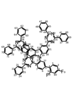 Fc1ccc(-c2ccc(-c3nc(-c4ccccc4)nc(-c4ccccc4)n3)c(-n3c4ccc(-c5nc(-c6ccccc6)nc(-c6ccccc6)n5)cc4c4cc(-c5nc(-c6ccccc6)nc(-c6ccccc6)n5)ccc43)c2)c(F)c1